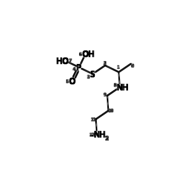 CC(CSP(=O)(O)O)NCCCN